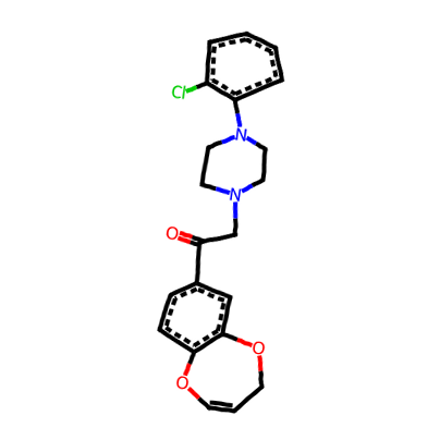 O=C(CN1CCN(c2ccccc2Cl)CC1)c1ccc2c(c1)OCC=CO2